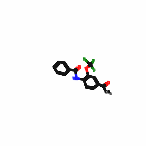 CC(=O)c1ccc(NC(=O)c2ccccc2)c(OC(F)(F)F)c1